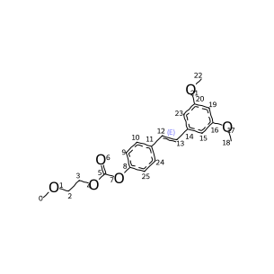 COCCOC(=O)Oc1ccc(/C=C/c2cc(OC)cc(OC)c2)cc1